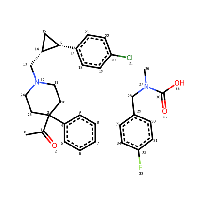 CC(=O)C1(c2ccccc2)CCN(C[C@@H]2C[C@@H]2c2ccc(Cl)cc2)CC1.CN(Cc1ccc(F)cc1)C(=O)O